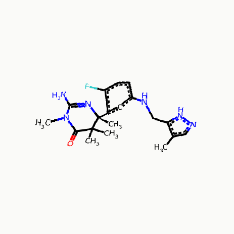 Cc1cn[nH]c1CNc1ccc(F)c([C@@]2(C)N=C(N)N(C)C(=O)C2(C)C)c1